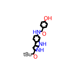 CC(C)(C)C(=O)c1cc2c([nH]1)[nH]c1cc(NC(=O)c3ccc(O)cc3)ccc12